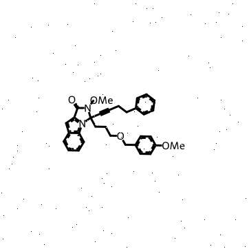 COc1ccc(COCCCC2(C#CCCc3ccccc3)N(OC)C(=O)c3cc4ccccc4n32)cc1